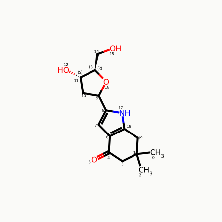 CC1(C)CC(=O)c2cc(C3C[C@H](O)[C@@H](CO)O3)[nH]c2C1